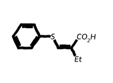 CC/C(=C/Sc1ccccc1)C(=O)O